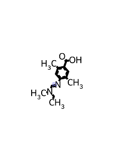 CCN(C)/C=N/c1cc(C)c(C(=O)O)cc1C